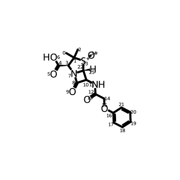 CC1(C)[C@H](C(=O)O)N2C(=O)C(NC(=O)COc3ccccc3)[C@H]2[S+]1[O-]